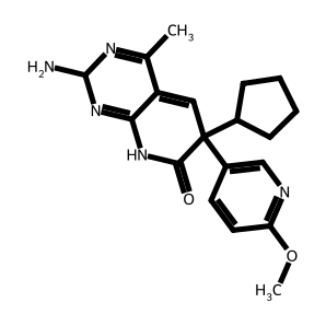 COc1ccc(C2(C3CCCC3)C=C3C(C)=NC(N)N=C3NC2=O)cn1